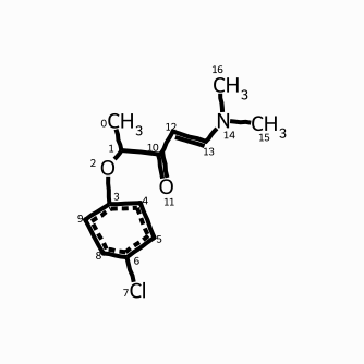 CC(Oc1ccc(Cl)cc1)C(=O)C=CN(C)C